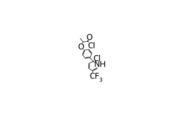 CC(Oc1ccc(C2(Cl)C=CC(C(F)(F)F)=CN2)cc1)C(=O)Cl